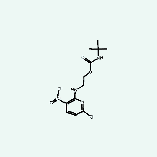 CC(C)(C)NC(=O)OCCNc1nc(Cl)ccc1[N+](=O)[O-]